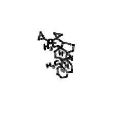 C[C@]12CCCCC1CC[C@@H]1[C@H]2CC[C@]2(C)C(C3(OC4CC4)CC3)CC[C@@H]12